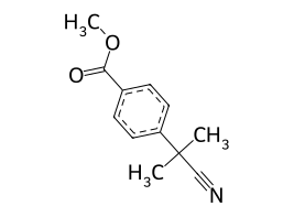 COC(=O)c1ccc(C(C)(C)C#N)cc1